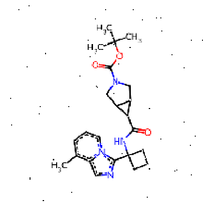 Cc1cccn2c(C3(NC(=O)C4C5CN(C(=O)OC(C)(C)C)CC54)CCC3)ncc12